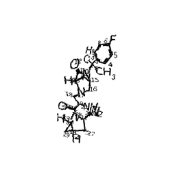 CC(C)(c1ccc(F)cc1)N1C(=O)[C@@H]2CC1CN2CC(N)C(=O)N1C(C#N)C[C@@H]2C[C@@H]21